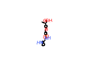 CC#CC(CC(=O)O)c1ccc(OCc2ccc(S(=O)(=O)NCCc3c[nH]c4ccccc34)cc2)cc1